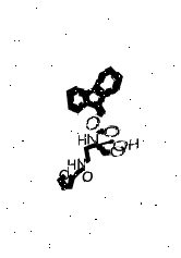 O=C[C@](CO)(CCNC(=O)c1ccco1)NC(=O)OCC1c2ccccc2-c2ccccc21